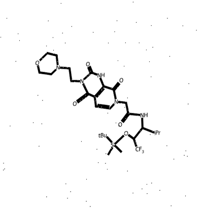 CC(C)C(NC(=O)Cn1ccc2c(=O)n(CCN3CCOCC3)c(=O)[nH]c2c1=O)C(O[Si](C)(C)C(C)(C)C)C(F)(F)F